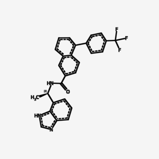 C[C@@H](NC(=O)c1ccc2c(-c3ccc(C(F)(F)F)cc3)cccc2c1)c1cccc2nc[nH]c12